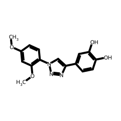 COc1ccc(-n2cc(-c3ccc(O)c(O)c3)nn2)c(OC)c1